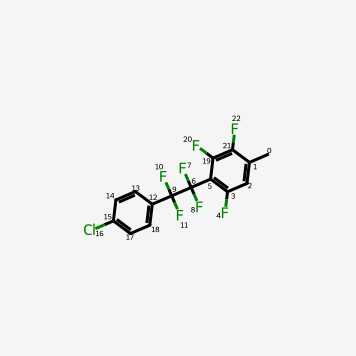 Cc1cc(F)c(C(F)(F)C(F)(F)c2ccc(Cl)cc2)c(F)c1F